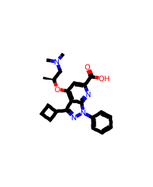 C[C@@H](CN(C)C)Oc1cc(C(=O)O)nc2c1c(C1CCC1)nn2-c1ccccc1